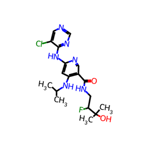 CC(C)Nc1cc(Nc2ncncc2Cl)ncc1C(=O)NCC(F)C(C)(C)O